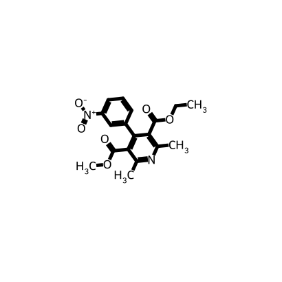 CCOC(=O)c1c(C)nc(C)c(C(=O)OC)c1-c1cccc([N+](=O)[O-])c1